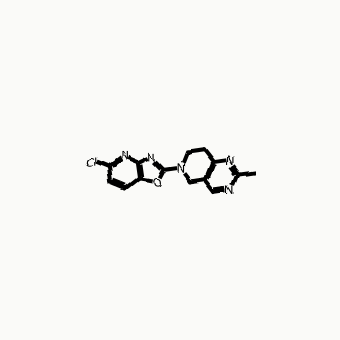 Cc1ncc2c(n1)CCN(c1nc3nc(Cl)ccc3o1)C2